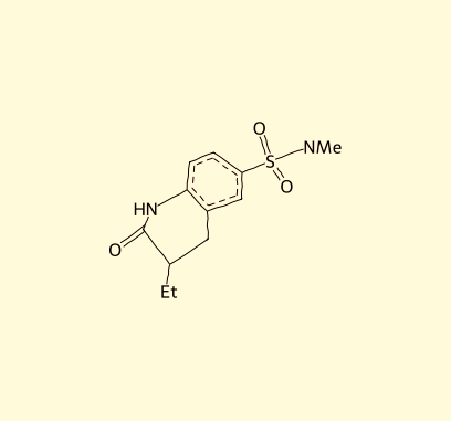 CCC1Cc2cc(S(=O)(=O)NC)ccc2NC1=O